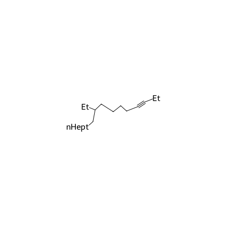 [CH2]CC#CCCCCC(CC)CCCCCCC[CH2]